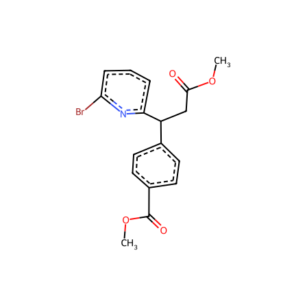 COC(=O)CC(c1ccc(C(=O)OC)cc1)c1cccc(Br)n1